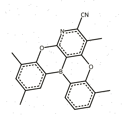 Cc1cc(C)c2c(c1)B1c3cccc(C)c3Oc3c(C)c(C#N)nc(c31)O2